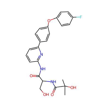 CC(C)(O)C(=O)NC(CO)C(=O)Nc1cccc(-c2ccc(Oc3ccc(F)cc3)cc2)n1